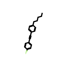 CCCCCc1ccc(C#Cc2ccc(F)cc2)cc1